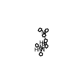 c1ccc(C2N=C(c3cccc4c3oc3cc(-c5ccc6c(c5)c5ccccc5n6-c5ccccc5)ccc34)NC(c3ccccc3)N2)cc1